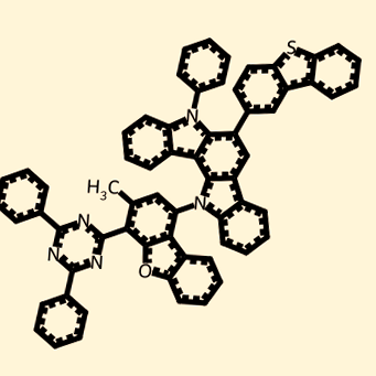 Cc1cc(-n2c3ccccc3c3cc(-c4ccc5sc6ccccc6c5c4)c4c(c5ccccc5n4-c4ccccc4)c32)c2c(oc3ccccc32)c1-c1nc(-c2ccccc2)nc(-c2ccccc2)n1